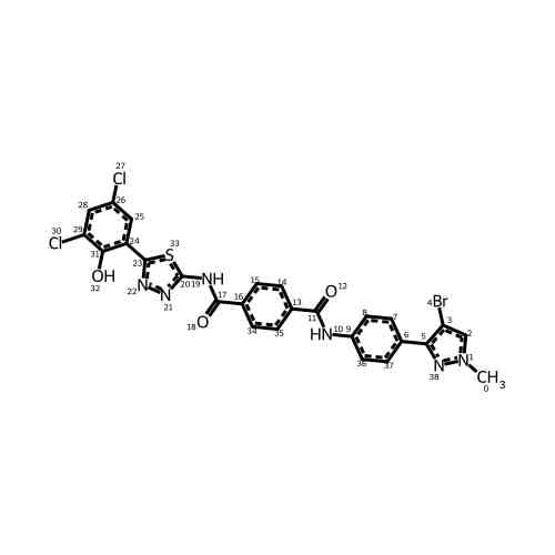 Cn1cc(Br)c(-c2ccc(NC(=O)c3ccc(C(=O)Nc4nnc(-c5cc(Cl)cc(Cl)c5O)s4)cc3)cc2)n1